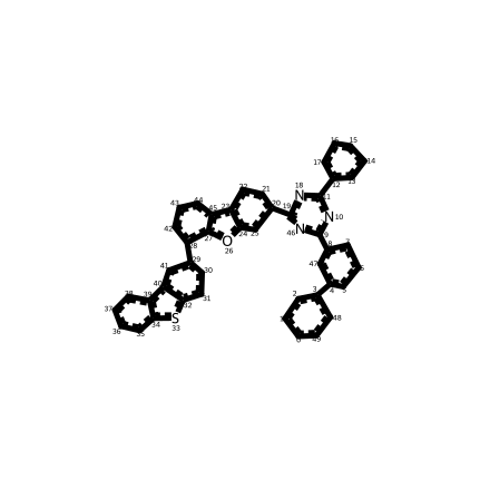 c1ccc(-c2cccc(-c3nc(-c4ccccc4)nc(-c4ccc5c(c4)oc4c(-c6ccc7sc8ccccc8c7c6)cccc45)n3)c2)cc1